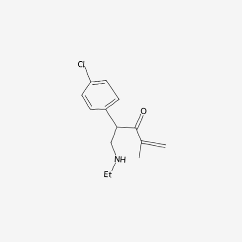 C=C(C)C(=O)C(CNCC)c1ccc(Cl)cc1